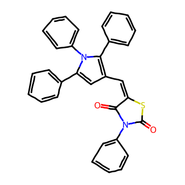 O=C1SC(=Cc2cc(-c3ccccc3)n(-c3ccccc3)c2-c2ccccc2)C(=O)N1c1ccccc1